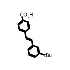 CC(C)(C)c1cccc(/C=C/c2ccc(C(=O)O)cc2)c1